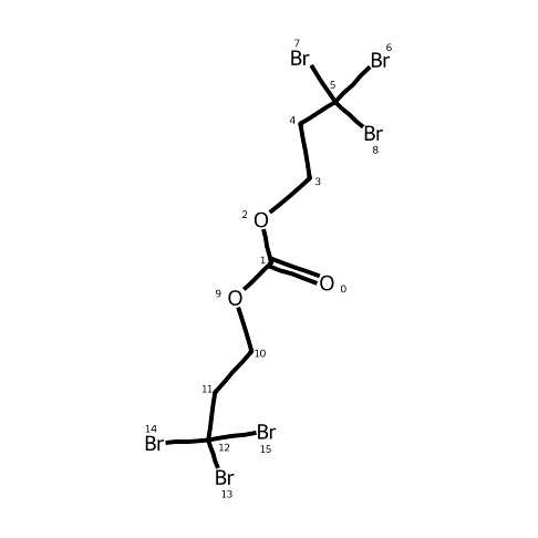 O=C(OCCC(Br)(Br)Br)OCCC(Br)(Br)Br